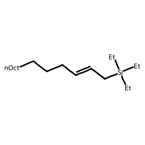 CCCCCCCCCCCC=CC[Si](CC)(CC)CC